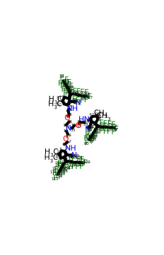 CC1(C)CC(NCCOCCN(CCOCCNC2=C(C#N)C(=C(C(F)(F)C(F)(F)C(F)(F)C(F)(F)F)C(F)(F)C(F)(F)C(F)(F)C(F)(F)F)CC(C)(C)C2)CCOCCNC2=C(C#N)C(=C(C(F)(F)C(F)(F)C(F)(F)C(F)(F)F)C(F)(F)C(F)(F)C(F)(F)C(F)(F)F)CC(C)(C)C2)=C(C#N)C(=C(C(F)(F)C(F)(F)C(F)(F)C(F)(F)F)C(F)(F)C(F)(F)C(F)(F)C(F)(F)F)C1